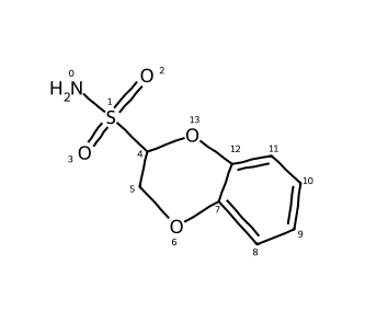 NS(=O)(=O)C1COc2ccccc2O1